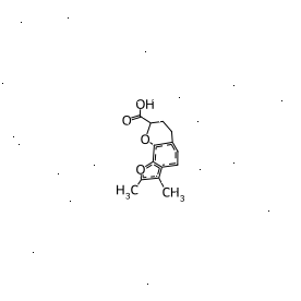 Cc1oc2c3c(ccc2c1C)CCC(C(=O)O)O3